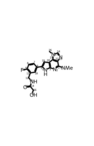 CNc1nc2[nH]c(-c3ccc(F)c(CNC(=O)CO)c3)cc2c2c1ncn2C